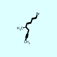 CC#CC[C@@H](C)/C=C/C=C/Br